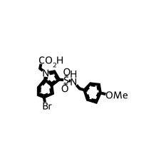 COc1ccc(CNS(=O)(=O)c2cn(CC(=O)O)c3ccc(Br)cc23)cc1